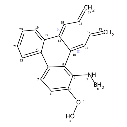 BNc1c(OO)ccc2c1c(=C/C=C)/c(=C\C=C)c1ccccc12